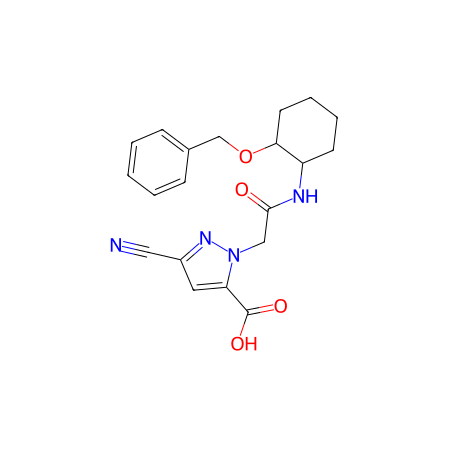 N#Cc1cc(C(=O)O)n(CC(=O)NC2CCCCC2OCc2ccccc2)n1